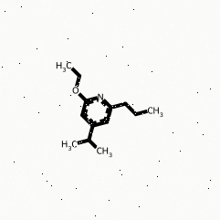 CCCc1cc(C(C)C)cc(OCC)n1